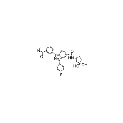 CN(C)C(=O)c1cccc(-c2nn(-c3ccc(F)cc3)c3cc(C(=O)NC4(C)CCS(O)(O)C4)ccc23)c1